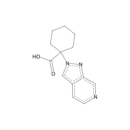 O=C(O)C1(n2cc3ccncc3n2)CCCCC1